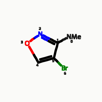 CNc1nocc1Br